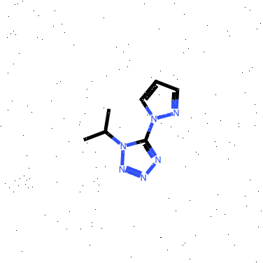 CC(C)n1nnnc1-n1cccn1